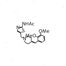 COc1cccc(C=C2CCN(Cc3cnc(NC(C)=O)s3)CC2)c1OC